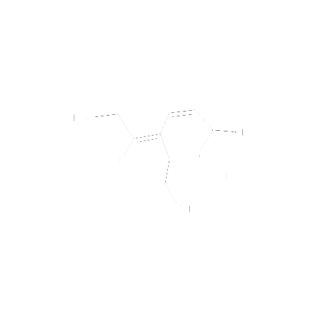 CCCC(/C=C\C(C)OC)=C(\F)CC